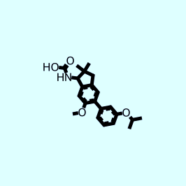 COc1cc2c(cc1-c1cccc(OC(C)C)c1)CC(C)(C)C2NC(=O)O